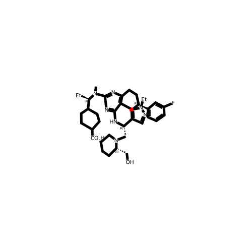 CC[C@H](C1CCC(C(=O)O)CC1)N(C)c1nc2c(c(N[C@@H](CN3CCCC[C@H]3CO)c3cnn(CC)c3)n1)C[C@H](c1cccc(F)c1)CC2